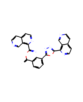 C=C(OC(=N)c1nccc2ccncc12)c1cccc(-c2nnc(-c3nccc4ccncc34)o2)c1